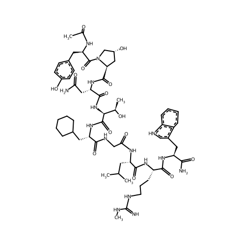 CNC(=N)NCCC[C@H](NC(=O)[C@H](CC(C)C)NC(=O)CNC(=O)[C@H](CC1CCCCC1)NC(=O)[C@@H](NC(=O)[C@H](CC(N)=O)NC(=O)[C@@H]1C[C@@H](O)CN1C(=O)[C@@H](Cc1ccc(O)cc1)NC(C)=O)[C@@H](C)O)C(=O)N[C@@H](Cc1c[nH]c2ccccc12)C(N)=O